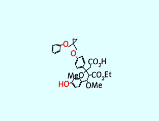 CCOC(=O)C(C(OC)c1ccc(O)cc1)C(CC(=O)O)(OC)c1ccc(OCC2(COc3ccccc3)CC2)cc1